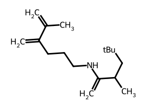 C=C(C)C(=C)CCCNC(=C)C(C)CC(C)(C)C